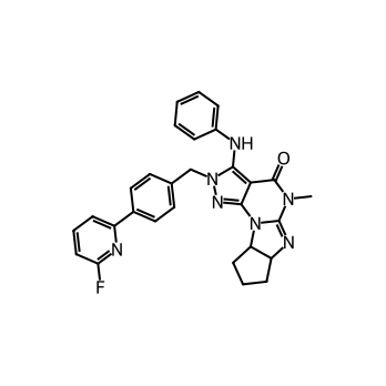 CN1C(=O)c2c(nn(Cc3ccc(-c4cccc(F)n4)cc3)c2Nc2ccccc2)N2C1=NC1CCCC12